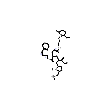 C=C(/C=C/C=C\c1ccccc1)C(C/C=C(\C)OCCCN1C(C)CCC1CC)CC(CC1CCC(CNC)N1)C(=C)CF